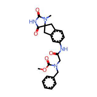 COC(=O)N(CC(=O)Nc1ccc2c(c1)CC1(C2)C(=O)NC(=O)N1C)Cc1ccccc1